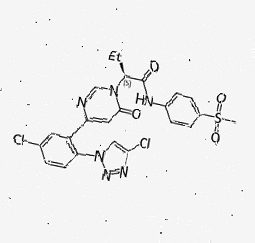 CC[C@@H](C(=O)Nc1ccc(S(C)(=O)=O)cc1)n1cnc(-c2cc(Cl)ccc2-n2cc(Cl)nn2)cc1=O